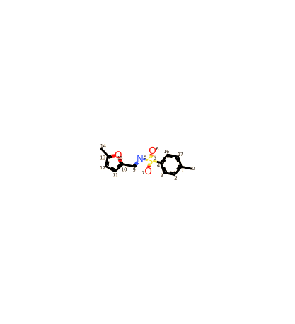 Cc1ccc(S(=O)(=O)N=Cc2ccc(C)o2)cc1